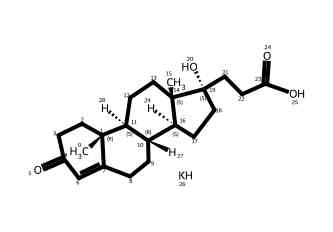 C[C@]12CCC(=O)C=C1CC[C@@H]1[C@@H]2CC[C@@]2(C)[C@H]1CC[C@]2(O)CCC(=O)O.[KH]